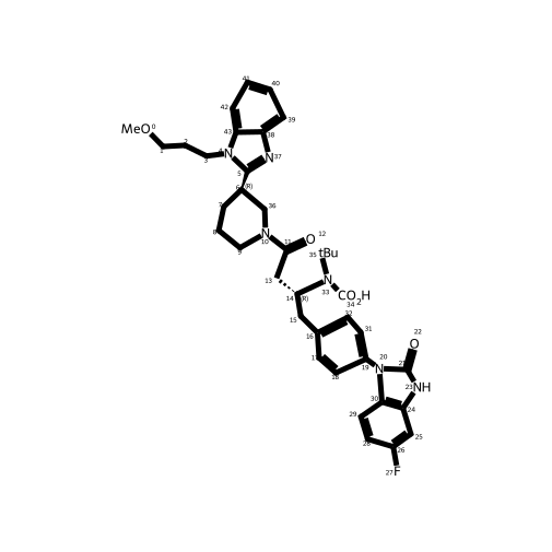 COCCCn1c([C@@H]2CCCN(C(=O)C[C@@H](Cc3ccc(-n4c(=O)[nH]c5cc(F)ccc54)cc3)N(C(=O)O)C(C)(C)C)C2)nc2ccccc21